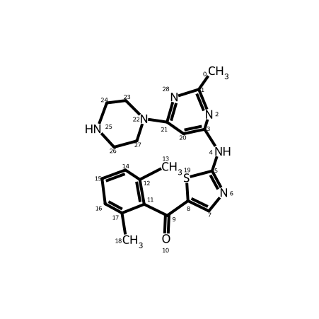 Cc1nc(Nc2ncc(C(=O)c3c(C)cccc3C)s2)cc(N2CCNCC2)n1